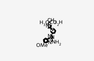 COc1cccc2c1nc(N)n1nc([C@@H]3CCCN(c4cnn(C(C)(C)C(=O)O)c4)C3)nc21